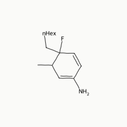 CCCCCCCC1(F)C=CC(N)=CC1C